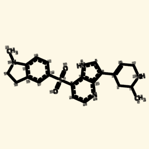 CC1CC(c2c[nH]c3c(S(=O)(=O)c4ccc5c(c4)CCN5C)ccnc23)=CCN1